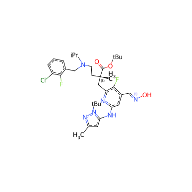 Cc1cc(Nc2cc(/C=N/O)c(F)c(C[C@](C)(CCN(Cc3cccc(Cl)c3F)C(C)C)C(=O)OC(C)(C)C)n2)n(C(C)(C)C)n1